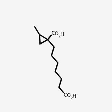 CC1CC1(CCCCCCC(=O)O)C(=O)O